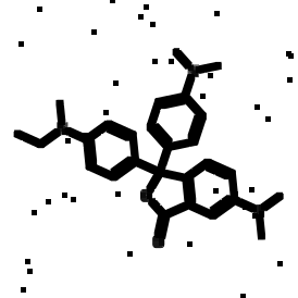 CCN(C)c1ccc(C2(c3ccc(N(C)C)cc3)OC(=O)c3cc(N(C)C)ccc32)cc1